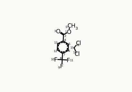 COC(=O)c1ccc(C(F)(F)F)cc1.ClCCl